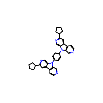 c1cc2c3cc(C4CCCC4)ncc3n(-c3ccc(-n4c5cnccc5c5cc(C6CCCC6)ncc54)cc3)c2cn1